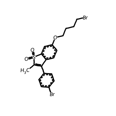 CC1=C(c2ccc(Br)cc2)c2ccc(OCCCCBr)cc2S1(=O)=O